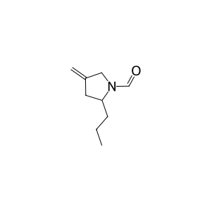 C=C1CC(CCC)N(C=O)C1